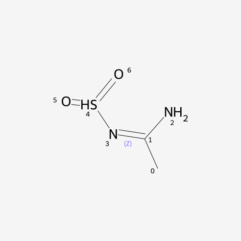 C/C(N)=N/[SH](=O)=O